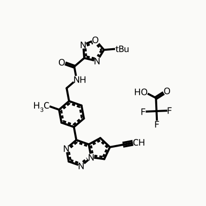 C#Cc1cc2c(-c3ccc(CNC(=O)c4noc(C(C)(C)C)n4)c(C)c3)ncnn2c1.O=C(O)C(F)(F)F